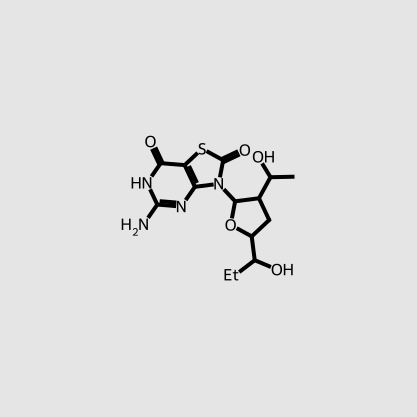 CCC(O)C1CC(C(C)O)C(n2c(=O)sc3c(=O)[nH]c(N)nc32)O1